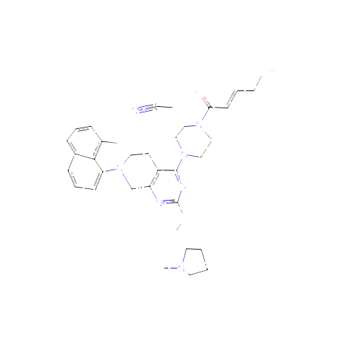 CN1CCC[C@H]1COc1nc2c(c(N3CCN(C(=O)/C=C/CO)[C@@H](CC#N)C3)n1)CCN(c1cccc3cccc(Cl)c13)C2